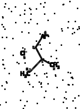 CC(C)[CH2][Al+].[Cl-]